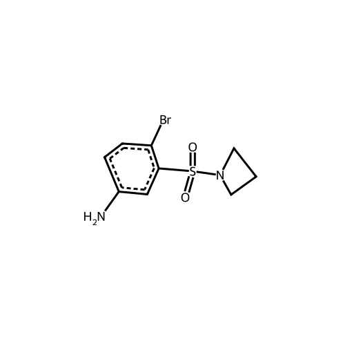 Nc1ccc(Br)c(S(=O)(=O)N2CCC2)c1